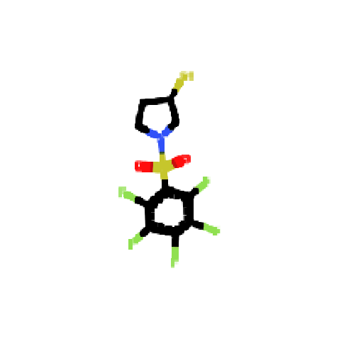 O=S(=O)(c1c(F)c(F)c(F)c(F)c1F)N1CC[C@@H](S)C1